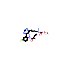 C=C[C@@H](C)C(=O)Nc1ccc(F)cc1-c1cc(C=CCCNC(=O)OC(C)(C)C)ncn1